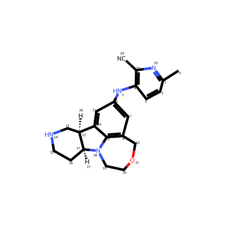 Cc1ccc(Nc2cc3c4c(c2)[C@@H]2CNCC[C@@H]2N4CCOC3)c(C#N)n1